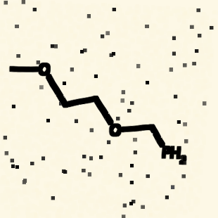 COCCOCP